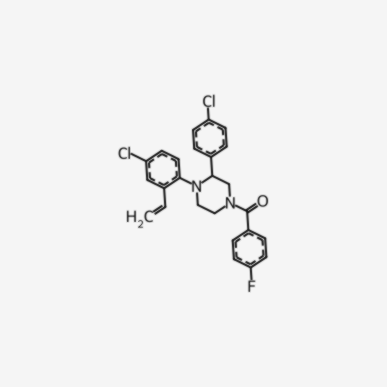 C=Cc1cc(Cl)ccc1N1CCN(C(=O)c2ccc(F)cc2)CC1c1ccc(Cl)cc1